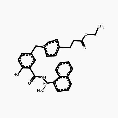 CCOC(=O)CCc1ccc(Cc2ccc(O)c(C(=O)N[C@@H](C)c3cccc4ccccc34)c2)cc1